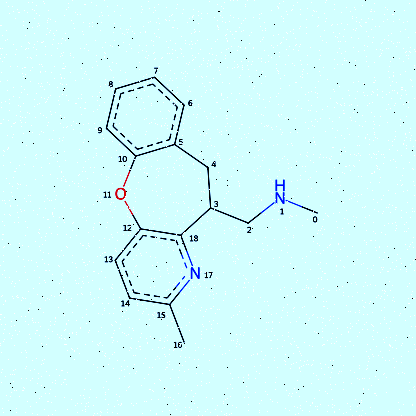 CNCC1Cc2ccccc2Oc2ccc(C)nc21